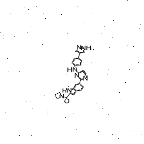 O=C(c1cc2ccc(-c3nc#cc(Nc4ccc(-c5cn[nH]c5)cc4)n3)cc2[nH]1)N1CCC1